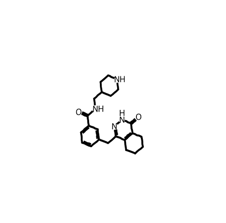 O=C(NCC1CCNCC1)c1cccc(Cc2n[nH]c(=O)c3c2CCCC3)c1